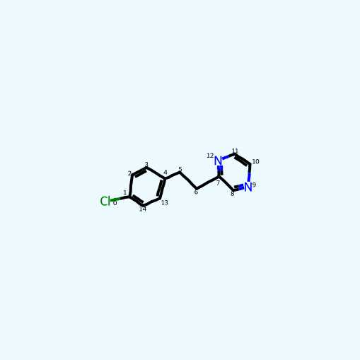 Clc1ccc(CCc2cnccn2)cc1